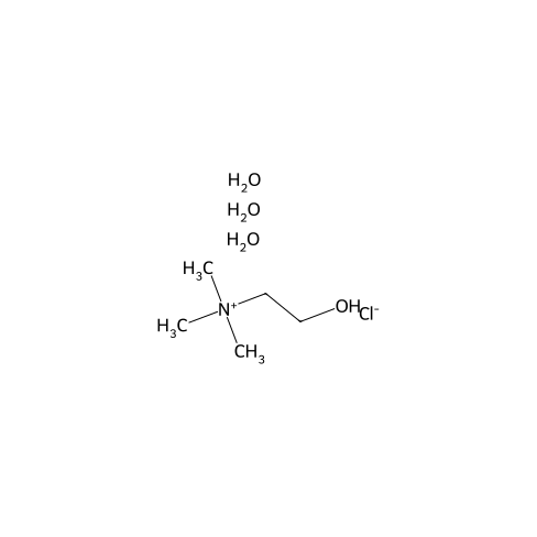 C[N+](C)(C)CCO.O.O.O.[Cl-]